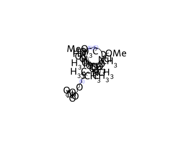 COc1cc2cc(c1Cl)N(C)C(=O)C[C@H](OC(=O)[C@H](C)N(C)C(=O)CCC(C)(C)SC/C=C/COCCC(=O)ON1C(=O)CCC1=O)[C@]1(C)O[C@H]1[C@H](C)[C@@H]1C[C@@](O)(NC(=O)O1)[C@H](OC)/C=C/C=C(\C)C2